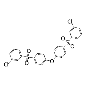 O=S(=O)(c1ccc(Oc2ccc(S(=O)(=O)c3cccc(Cl)c3)cc2)cc1)c1cccc(Cl)c1